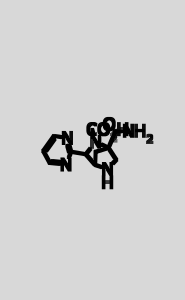 NC(=O)C12CNC(C1)C(c1ncccn1)N2C(=O)O